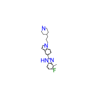 Cc1c(F)ccc2[nH]c(-c3ccc4c(ccn4CCCC4CCN(C)CC4)c3)nc12